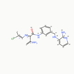 C=C(N)/C(=N\C=C(/C)Cl)C(=O)Nc1cccc(CNc2cccnc2N)c1